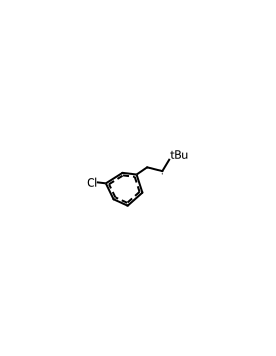 CC(C)(C)[CH]Cc1cccc(Cl)c1